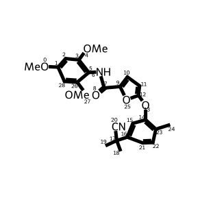 COc1cc(OC)c(NC(=O)c2ccc(Oc3cc(C(C)(C)C#N)ccc3C)o2)c(OC)c1